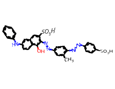 Cc1cc(N=Nc2c(S(=O)(=O)O)cc3cc(Nc4ccccc4)ccc3c2O)ccc1N=Nc1ccc(S(=O)(=O)O)cc1